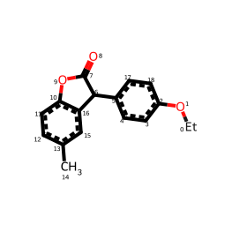 CCOc1ccc(C2C(=O)Oc3ccc(C)cc32)cc1